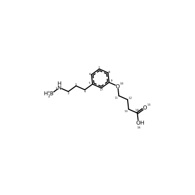 BNCCCc1cccc(OCCCC(=O)O)c1